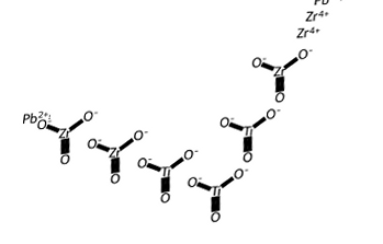 [O]=[Ti]([O-])[O-].[O]=[Ti]([O-])[O-].[O]=[Ti]([O-])[O-].[O]=[Zr]([O-])[O-].[O]=[Zr]([O-])[O-].[O]=[Zr]([O-])[O-].[Pb+2].[Pb+2].[Zr+4].[Zr+4]